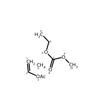 C.C=COC(C)=O.CCOC(=O)OC